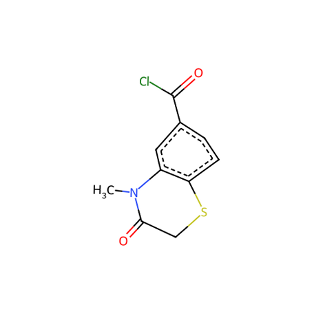 CN1C(=O)CSc2ccc(C(=O)Cl)cc21